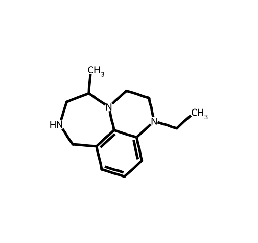 CCN1CCN2c3c(cccc31)CNCC2C